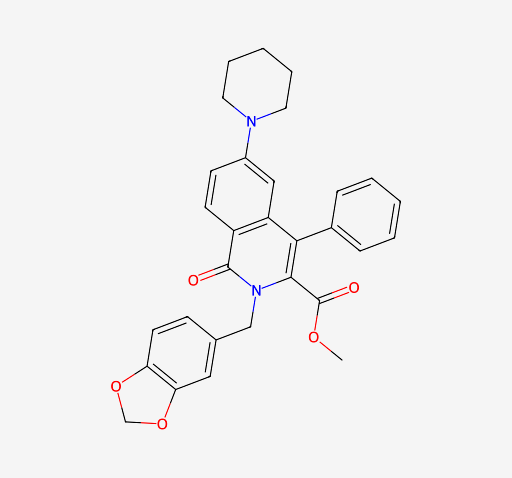 COC(=O)c1c(-c2ccccc2)c2cc(N3CCCCC3)ccc2c(=O)n1Cc1ccc2c(c1)OCO2